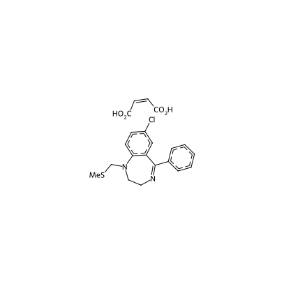 CSCN1CCN=C(c2ccccc2)c2cc(Cl)ccc21.O=C(O)/C=C\C(=O)O